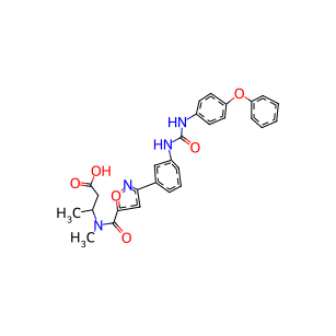 CC(CC(=O)O)N(C)C(=O)c1cc(-c2cccc(NC(=O)Nc3ccc(Oc4ccccc4)cc3)c2)no1